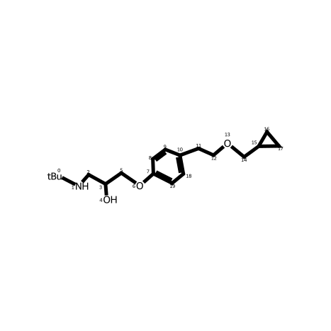 CC(C)(C)NCC(O)COc1ccc(CCOCC2CC2)cc1